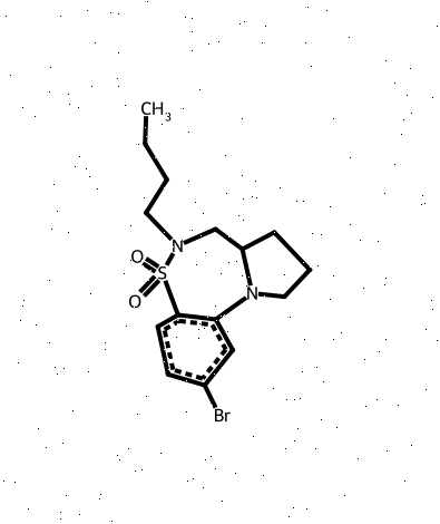 CCCCN1CC2CCCN2c2cc(Br)ccc2S1(=O)=O